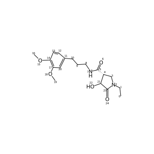 CCN1C[C@@H](C(=O)NCCCc2ccc(OC)c(OC)c2)C(O)C1=O